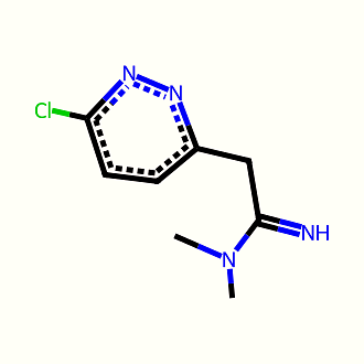 CN(C)C(=N)Cc1ccc(Cl)nn1